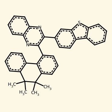 CC1(C)c2ccccc2-c2c(-c3nc4ccccc4nc3-c3ccc4c(c3)sc3ccccc34)cccc2C1(C)C